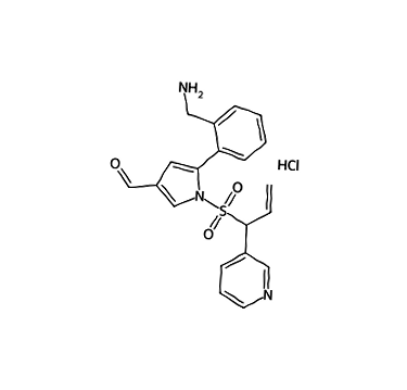 C=CC(c1cccnc1)S(=O)(=O)n1cc(C=O)cc1-c1ccccc1CN.Cl